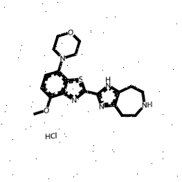 COc1ccc(N2CCOCC2)c2sc(-c3nc4c([nH]3)CCNCC4)nc12.Cl